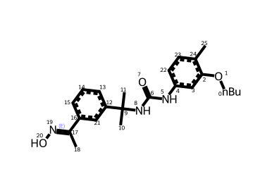 CCCCOc1cc(NC(=O)NC(C)(C)c2cccc(/C(C)=N/O)c2)ccc1C